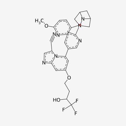 COc1ccc(CN2C3CC2CN(c2ccc(-c4cc(OCCC(O)C(F)(F)F)cc5ncc(C#N)n45)cn2)C3)cn1